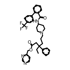 CCC(CCCN1CCC(NC(=O)c2ccccc2-c2ccc(C(F)(F)F)cc2)CC1)(CC(=O)OCc1ccncn1)c1ccccc1